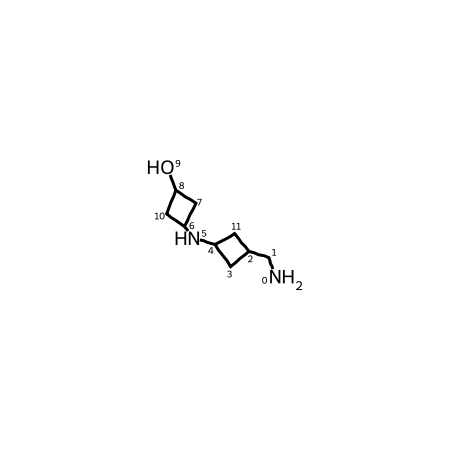 NCC1CC(NC2CC(O)C2)C1